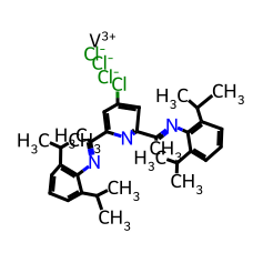 CC(=Nc1c(C(C)C)cccc1C(C)C)c1cc(Cl)cc(C(C)=Nc2c(C(C)C)cccc2C(C)C)n1.[Cl-].[Cl-].[Cl-].[V+3]